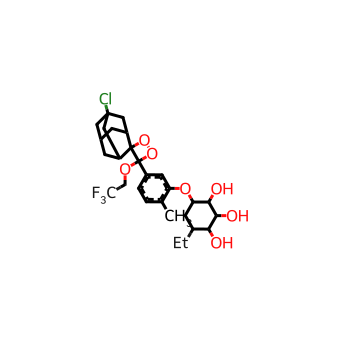 CCC1CC(Oc2cc(C3(OCC(F)(F)F)OOC34C3CC5CC4CC(Cl)(C5)C3)ccc2C)C(O)C(O)C1O